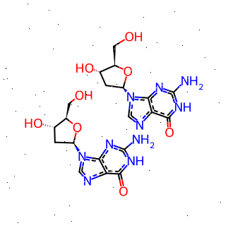 Nc1nc2c(ncn2[C@H]2C[C@H](O)[C@@H](CO)O2)c(=O)[nH]1.Nc1nc2c(ncn2[C@H]2C[C@H](O)[C@@H](CO)O2)c(=O)[nH]1